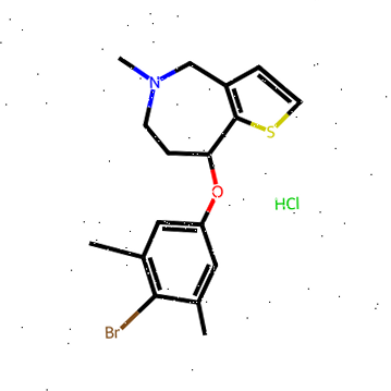 Cc1cc(OC2CCN(C)Cc3ccsc32)cc(C)c1Br.Cl